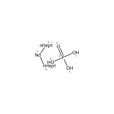 CCCCCC[CH2][Nd][CH2]CCCCCC.O=P(O)(O)O